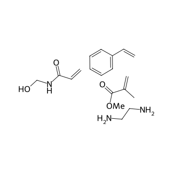 C=C(C)C(=O)OC.C=CC(=O)NCO.C=Cc1ccccc1.NCCN